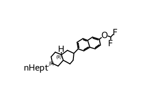 CCCCCCC[C@@H]1CC[C@@H]2CC(c3ccc4cc(OC(F)F)ccc4c3)CCC2C1